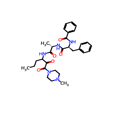 CCCC(NC(=O)[C@H](C)NC(=O)[C@H](Cc1ccccc1)NC(=O)c1ccccc1)C(=O)C(=O)N1CCN(C)CC1